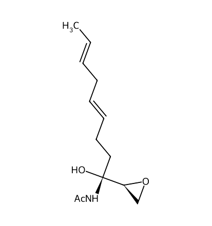 C/C=C/C/C=C/CC[C@](O)(NC(C)=O)[C@@H]1CO1